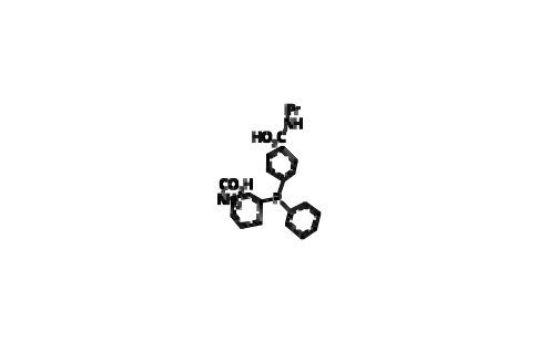 CC(C)NC(=O)O.NC(=O)O.c1ccc(P(c2ccccc2)c2ccccc2)cc1